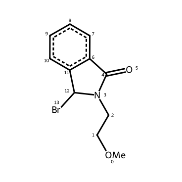 COCCN1C(=O)c2ccccc2C1Br